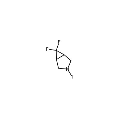 FC1(F)C2CN(I)CC21